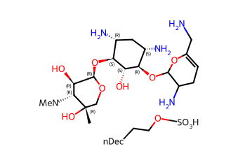 CCCCCCCCCCCCOS(=O)(=O)O.CN[C@@H]1[C@@H](O)[C@@H](O[C@@H]2[C@@H](O)[C@H](OC3OC(CN)=CCC3N)[C@@H](N)C[C@H]2N)OC[C@]1(C)O